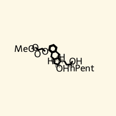 CCCCC[C@H](O)CC[C@@H]1[C@H]2Cc3cccc(OCC(=O)OOC)c3C[C@H]2C[C@H]1O